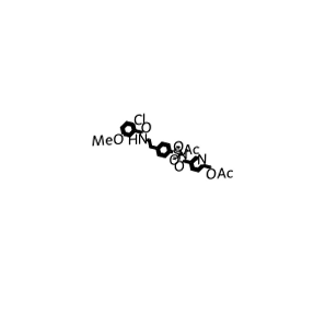 COc1ccc(Cl)c(C(=O)NCCc2ccc(S(=O)(=O)N(C(C)=O)C(=O)c3ccc(COC(C)=O)nc3)cc2)c1